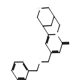 O=c1cc(COCc2ccccc2)cc2n1CC1CNCC2C1